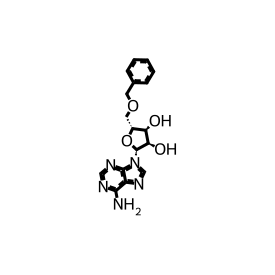 Nc1ncnc2c1ncn2[C@@H]1O[C@H](COCc2ccccc2)[C@@H](O)[C@H]1O